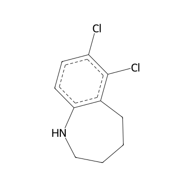 Clc1ccc2c(c1Cl)CCCCN2